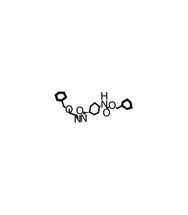 O=C(N[C@H]1CC[C@H](c2nnc(COCc3ccccc3)o2)CC1)OCc1ccccc1